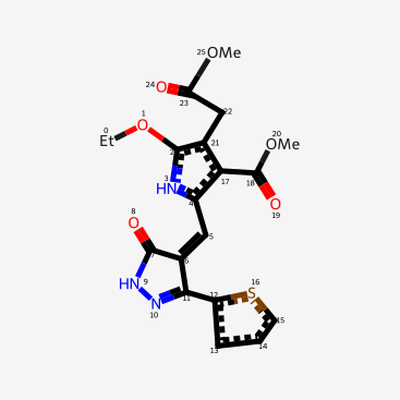 CCOc1[nH]c(C=C2C(=O)NN=C2c2cccs2)c(C(=O)OC)c1CC(=O)OC